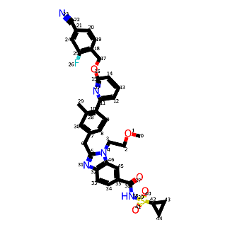 COCCn1c(Cc2ccc(-c3cccc(OCc4ccc(C#N)cc4F)n3)c(C)c2)nc2ccc(C(=O)NS(=O)(=O)C3CC3)cc21